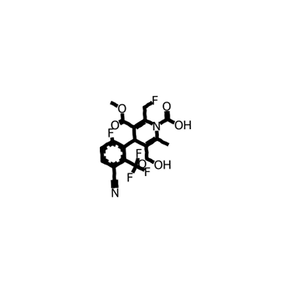 COC(=O)C1=C(CF)N(C(=O)O)C(C)=C(C(=O)O)C1c1c(F)ccc(C#N)c1C(F)(F)F